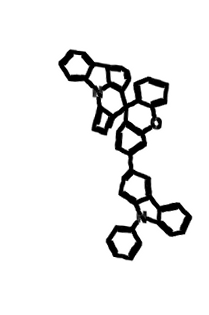 c1ccc(-n2c3ccccc3c3cc(-c4ccc5c(c4)Oc4ccccc4C54c5ccccc5-n5c6ccccc6c6cccc4c65)ccc32)cc1